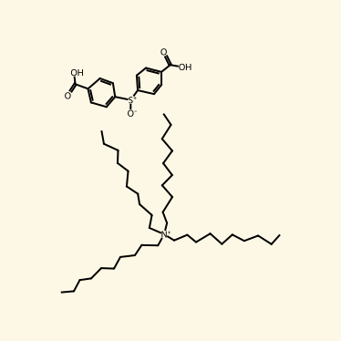 CCCCCCCCCC[N+](CCCCCCCCCC)(CCCCCCCCCC)CCCCCCCCCC.O=C(O)c1ccc([S+]([O-])c2ccc(C(=O)O)cc2)cc1